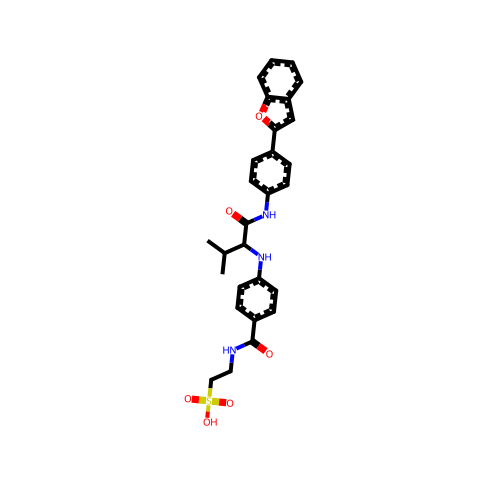 CC(C)C(Nc1ccc(C(=O)NCCS(=O)(=O)O)cc1)C(=O)Nc1ccc(-c2cc3ccccc3o2)cc1